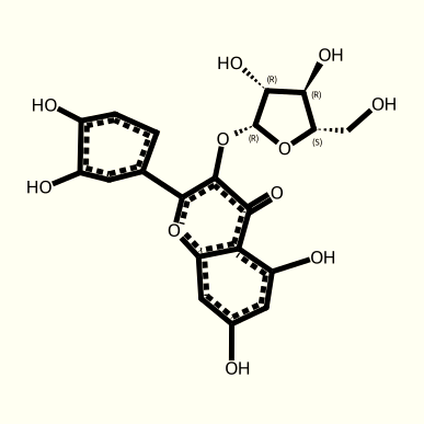 O=c1c(O[C@H]2O[C@@H](CO)[C@H](O)[C@H]2O)c(-c2ccc(O)c(O)c2)oc2cc(O)cc(O)c12